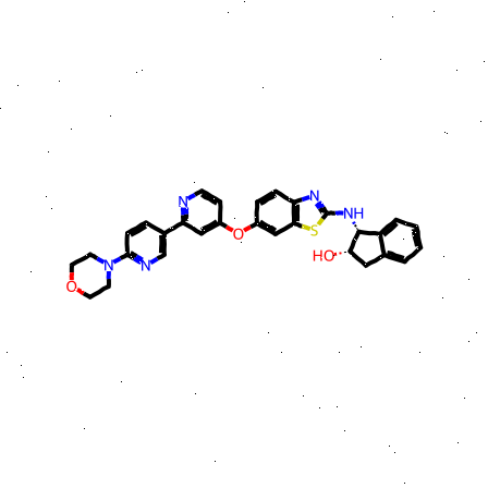 O[C@H]1Cc2ccccc2[C@H]1Nc1nc2ccc(Oc3ccnc(-c4ccc(N5CCOCC5)nc4)c3)cc2s1